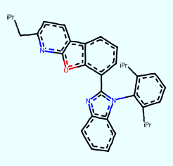 CC(C)Cc1ccc2c(n1)oc1c(-c3nc4ccccc4n3-c3c(C(C)C)cccc3C(C)C)cccc12